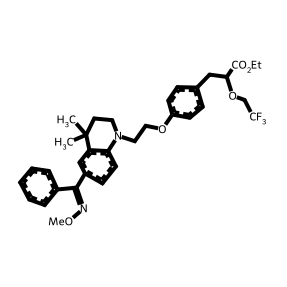 CCOC(=O)C(Cc1ccc(OCCN2CCC(C)(C)c3cc(/C(=N/OC)c4ccccc4)ccc32)cc1)OCC(F)(F)F